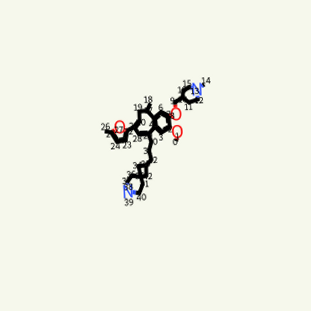 COc1cc2c(cc1OCC1CCN(C)CC1)C(C)C/C=C(c1ccc(C)o1)/C=C\2CCCC1CC2(CCN(C)CC2)C1